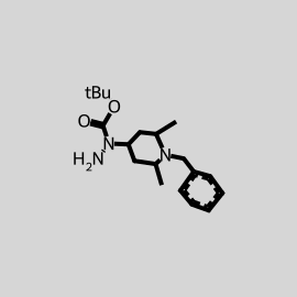 CC1CC(N(N)C(=O)OC(C)(C)C)CC(C)N1Cc1ccccc1